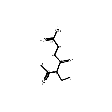 CCC(C(C)=O)C(=O)CCC(=O)O